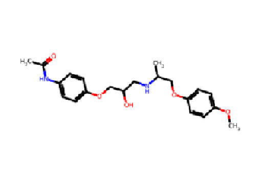 COc1ccc(OCC(C)NCC(O)COc2ccc(NC(C)=O)cc2)cc1